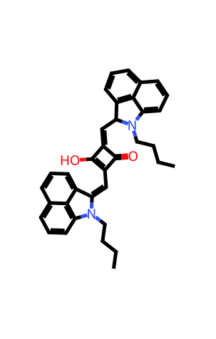 CCCCN1c2cccc3cccc(c23)C1/C=C1\C(=O)C(/C=c2\c3cccc4cccc(c43)n2CCCC)=C1O